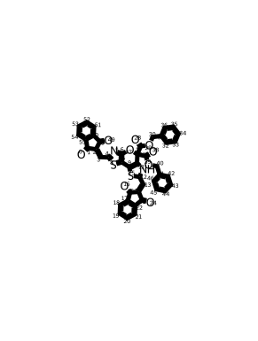 O=C1C(=Cc2nc3c(s2)C2=C(NC(C=C4C(=O)c5ccccc5C4=O)S2)C(C(=O)OCc2ccccc2)(C(=O)OCc2ccccc2)O3)C(=O)c2ccccc21